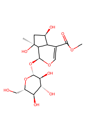 COC(=O)C1=CO[C@@H](O[C@H]2O[C@@H](CO)[C@H](O)[C@@H](O)[C@@H]2O)C2C1[C@H](O)C[C@]2(C)O